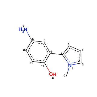 Cn1cccc1-c1cc(N)ccc1O